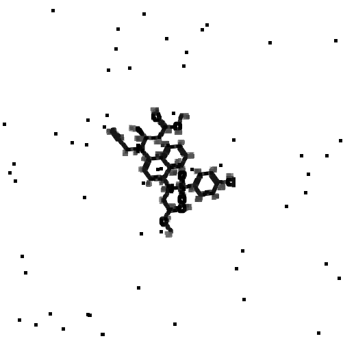 C#CCN(c1ccc(N(CC(=O)OC)S(=O)(=O)c2ccc(Cl)cc2)c2ccccc12)[C@@H](C)CC(=O)OC